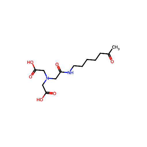 CC(=O)CCCCCNC(=O)CN(CC(=O)O)CC(=O)O